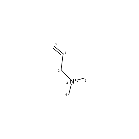 C=CC[N+](C)C